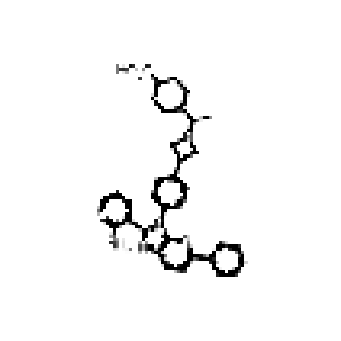 C[C@H](C1CCC(C(=O)O)CC1)N1CC(c2ccc(-n3c(-c4cccnc4N)nc4ccc(-c5ccccc5)nc43)cc2)C1